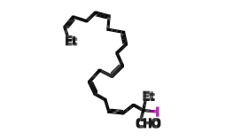 CC/C=C\C/C=C\C/C=C\C/C=C\C/C=C\C/C=C\CC(I)(C=O)CC